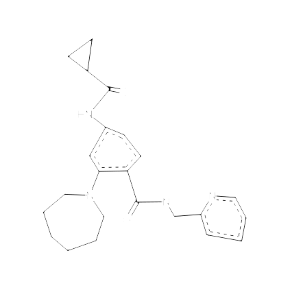 O=C(NCc1ccccn1)c1ccc(NC(=O)C2CC2)cc1N1CCCCCC1